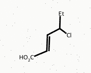 CCC(Cl)C=CC(=O)O